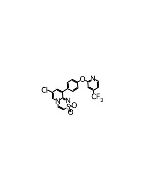 O=S1(=O)C=CN2C=C(Cl)C=C(c3ccc(Oc4cc(C(F)(F)F)ccn4)cc3)C2=N1